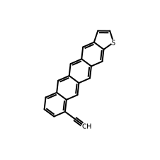 C#Cc1cccc2cc3cc4cc5ccsc5cc4cc3cc12